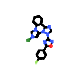 Fc1ccc(-c2nc(N3CN=C4c5ccccc5N5CN(Cl)C=C5N43)no2)cc1